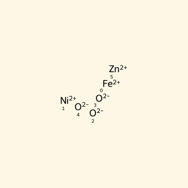 [Fe+2].[Ni+2].[O-2].[O-2].[O-2].[Zn+2]